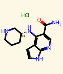 Cl.NC(=O)c1cnc2[nH]ccc2c1N[C@@H]1CCCNC1